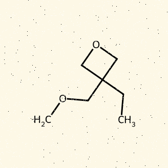 [CH2]OCC1(CC)COC1